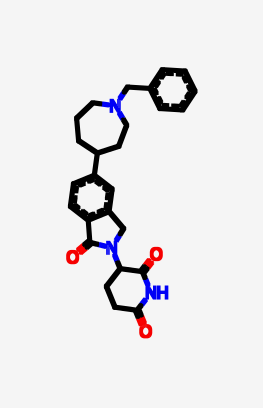 O=C1CCC(N2Cc3cc(C4CCCN(Cc5ccccc5)CC4)ccc3C2=O)C(=O)N1